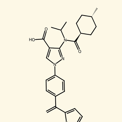 C=C(c1ccc(-n2cc(C(=O)O)c(N(C(=O)[C@H]3CC[C@H](C)CC3)C(C)C)n2)cc1)c1ccco1